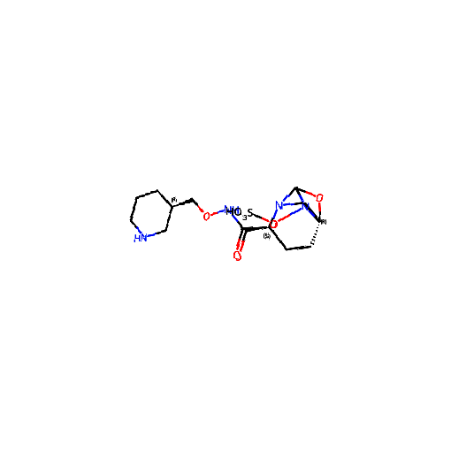 O=C(NOC[C@@H]1CCCNC1)[C@@H]1CC[C@]23CN1C(O2)N3OS(=O)(=O)O